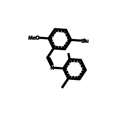 COc1ccc(C(C)(C)C)cc1/C=N\c1c(C)cccc1C